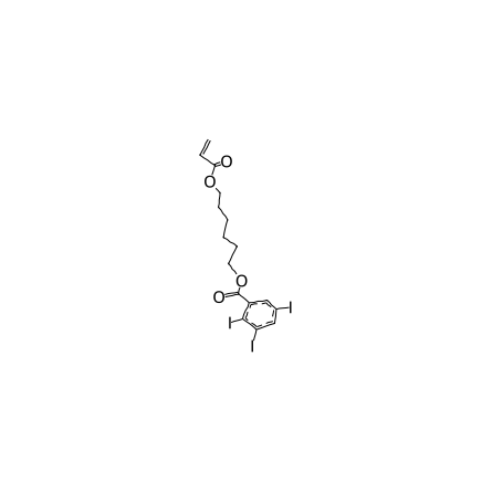 C=CC(=O)OCCCCCCOC(=O)c1cc(I)cc(I)c1I